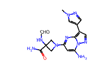 Cn1cc(-c2cnn3c(N)cc(N4CC(NC=O)(C(N)=O)C4)nc23)cn1